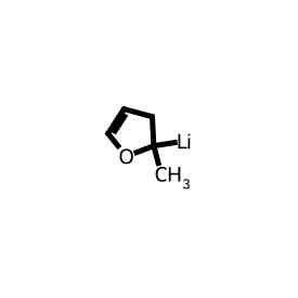 [Li][C]1(C)CC=CO1